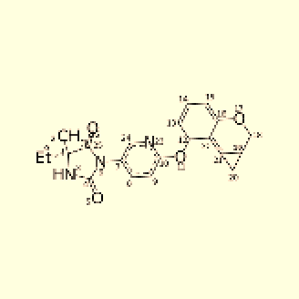 CC[C@@]1(C)NC(=O)N(c2ccc(OC3C=CC=C4OCC5CC5=C43)nc2)C1=O